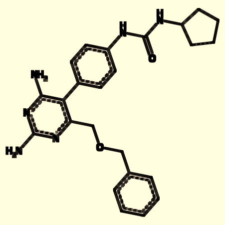 Nc1nc(N)c(-c2ccc(NC(=O)NC3CCCC3)cc2)c(COCc2ccccc2)n1